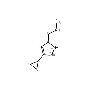 CNCC1C=C(C2CC2)NN1